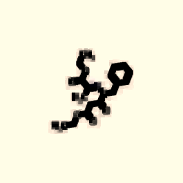 CCOC(=O)CC(=O)N(Cc1ccccc1)/N=C(\C)C(=O)OCC